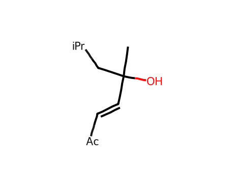 CC(=O)C=CC(C)(O)CC(C)C